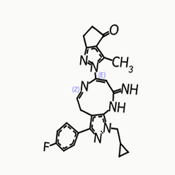 Cc1c2c(nn1C1=C/C(=N)Nc3c(c(-c4ccc(F)cc4)nn3CC3CC3)C/C=N\1)CCC2=O